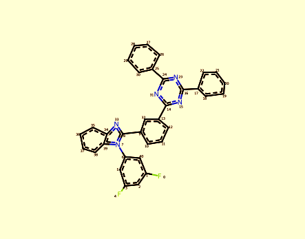 Fc1cc(F)cc(-n2c(-c3cccc(-c4nc(-c5ccccc5)nc(-c5ccccc5)n4)c3)nc3ccccc32)c1